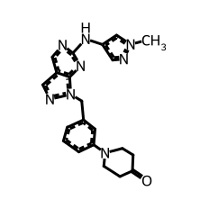 Cn1cc(Nc2ncc3cnn(Cc4cccc(N5CCC(=O)CC5)c4)c3n2)cn1